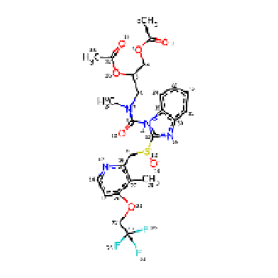 CC(=O)OCC(CN(C)C(=O)n1c([S@+]([O-])Cc2nccc(OCC(F)(F)F)c2C)nc2ccccc21)OC(C)=O